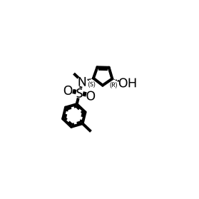 Cc1cccc(S(=O)(=O)N(C)[C@@H]2C=C[C@H](O)C2)c1